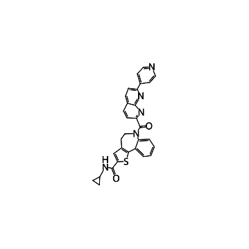 O=C(NC1CC1)c1cc2c(s1)-c1ccccc1N(C(=O)c1ccc3ccc(-c4ccncc4)nc3n1)CC2